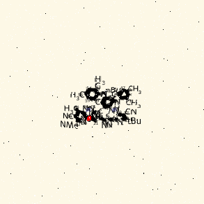 CCCCN(c1cc(C)c(/N=N/c2c(C#N)c(C(C)(C)C)nn2-c2nnc(-n3cc(C#N)c(/N=N\c4c(NC)nc(NC)c(C#N)c4C)n3)s2)c(Nc2c(C)cc(C)cc2C)n1)c1c(C)cc(C)cc1C